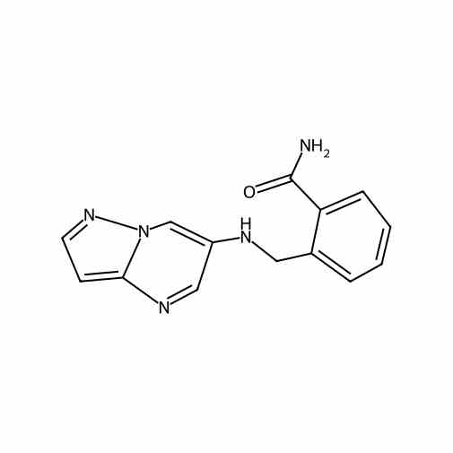 NC(=O)c1ccccc1CNc1cnc2ccnn2c1